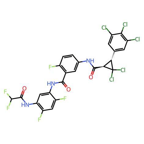 O=C(Nc1cc(NC(=O)C(F)F)c(F)cc1F)c1cc(NC(=O)[C@H]2[C@H](c3cc(Cl)c(Cl)c(Cl)c3)C2(Cl)Cl)ccc1F